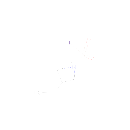 CCC1CN(S(=O)(=O)I)C1